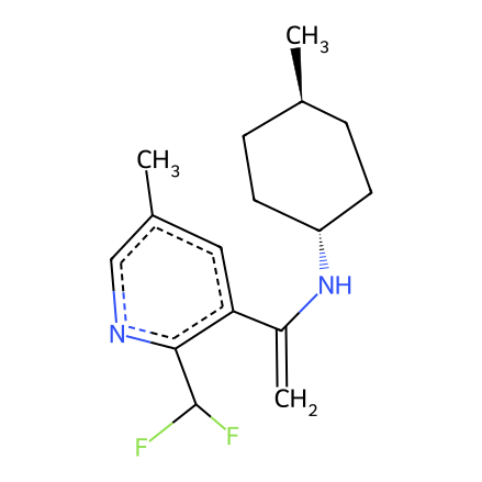 C=C(N[C@H]1CC[C@H](C)CC1)c1cc(C)cnc1C(F)F